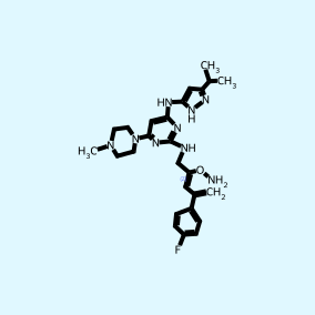 C=C(/C=C(/CNc1nc(Nc2cc(C(C)C)n[nH]2)cc(N2CCN(C)CC2)n1)ON)c1ccc(F)cc1